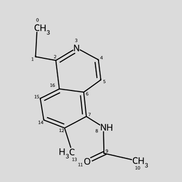 CCc1nccc2c(NC(C)=O)c(C)ccc12